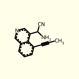 CC#Cc1cccc2cncc(C(N)C#N)c12